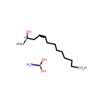 CCCCCC[C@@H](O)C/C=C\CCCCCCCC(=O)O.NB(O)O